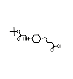 CC(C)(C)OC(=O)CN[C@H]1CC[C@H](OCCC(=O)O)CC1